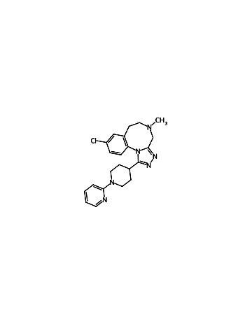 CN1CCc2cc(Cl)ccc2-n2c(nnc2C2CCN(c3ccccn3)CC2)C1